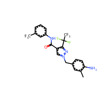 Cc1cc(Cn2cc(C(=O)Nc3cccc(C(F)(F)F)c3)c(C(F)(F)C(F)(F)F)n2)ccc1N